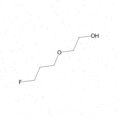 OCCOCCCF